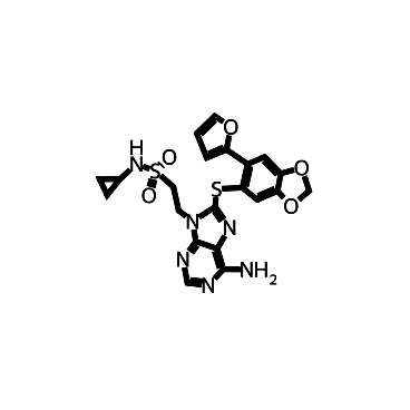 Nc1ncnc2c1nc(Sc1cc3c(cc1-c1ccco1)OCO3)n2CCS(=O)(=O)NC1CC1